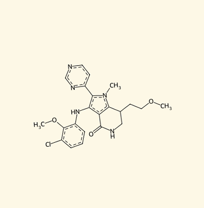 COCCC1CNC(=O)c2c(Nc3cccc(Cl)c3OC)c(-c3ccncn3)n(C)c21